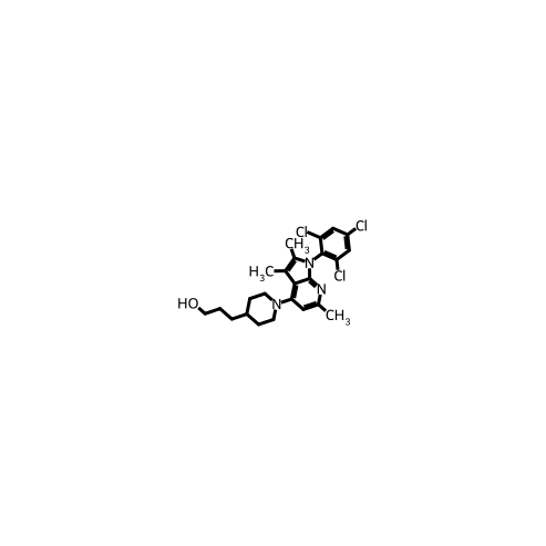 Cc1cc(N2CCC(CCCO)CC2)c2c(C)c(C)n(-c3c(Cl)cc(Cl)cc3Cl)c2n1